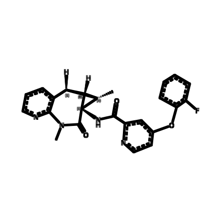 CN1C(=O)[C@]2(NC(=O)c3cc(Oc4ccccc4F)ccn3)[C@@H]3[C@H](c4cccnc41)[C@]32C